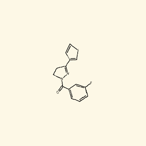 O=C(c1cccc(F)c1)N1CCC(c2ccsc2)=N1